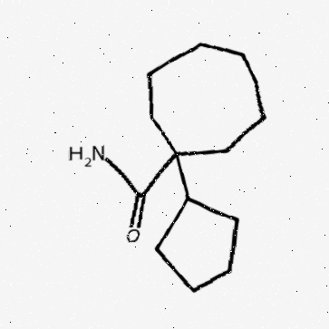 NC(=O)C1(C2CCCC2)CCCCCC1